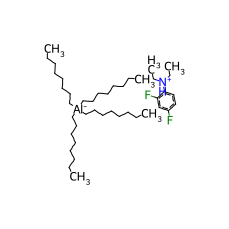 CCCCCCC[CH2][Al-]([CH2]CCCCCCC)([CH2]CCCCCCC)[CH2]CCCCCCC.CC[NH+](CC)c1ccc(F)cc1F